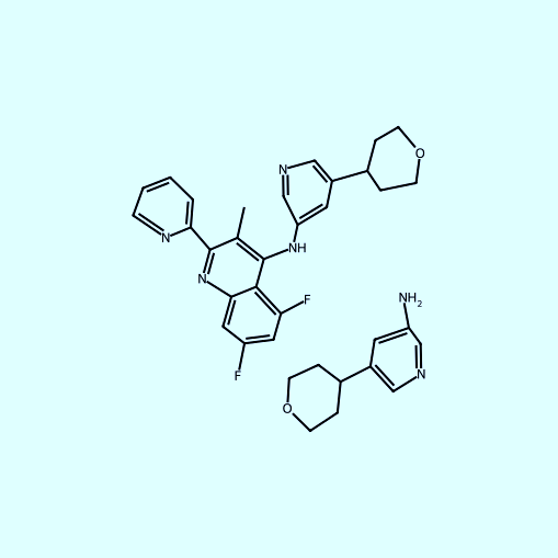 Cc1c(-c2ccccn2)nc2cc(F)cc(F)c2c1Nc1cncc(C2CCOCC2)c1.Nc1cncc(C2CCOCC2)c1